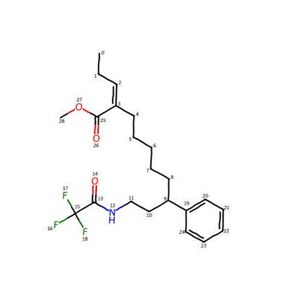 CCC=C(CCCCCC(CCNC(=O)C(F)(F)F)c1ccccc1)C(=O)OC